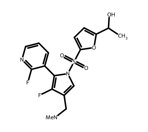 CNCc1cn(S(=O)(=O)c2ccc(C(C)O)o2)c(-c2cccnc2F)c1F